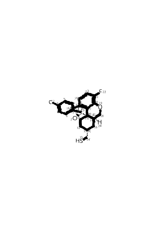 O=S(=O)(c1ccc(Cl)cc1)[C@@]12CC[C@@H](CS)C[C@@H]1COc1c(F)ccc(F)c12